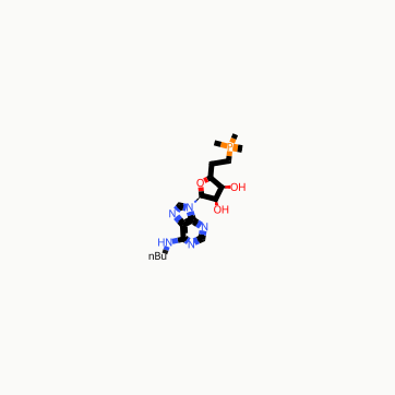 C=P(C)(C)CCC1O[C@@H](n2cnc3c(NCCCC)ncnc32)[C@H](O)[C@@H]1O